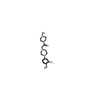 CCC(C)N1CCN(C(=O)CN2CCN(c3ccc(CI)c(C(F)(F)F)c3)CC2)CC1